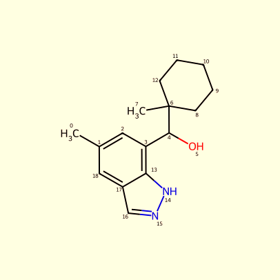 Cc1cc(C(O)C2(C)CCCCC2)c2[nH]ncc2c1